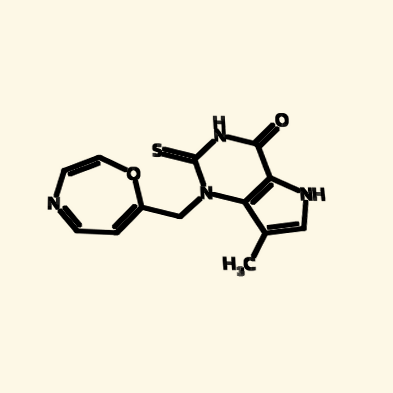 Cc1c[nH]c2c(=O)[nH]c(=S)n(CC3=CC=NC=CO3)c12